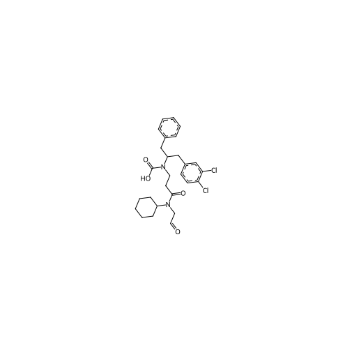 O=CCN(C(=O)CCN(C(=O)O)C(Cc1ccccc1)Cc1ccc(Cl)c(Cl)c1)C1CCCCC1